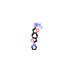 Nc1cc2cc3oc(N4CCCC4)cc3cc2o1